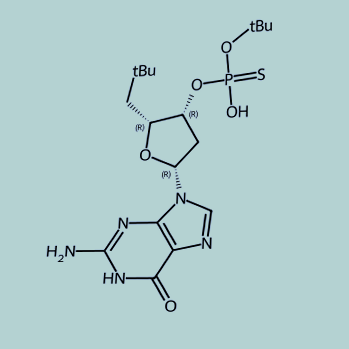 CC(C)(C)C[C@H]1O[C@@H](n2cnc3c(=O)[nH]c(N)nc32)C[C@H]1OP(O)(=S)OC(C)(C)C